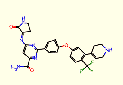 NC(=O)c1cc(/N=C2\CCNC2=O)nc(-c2ccc(Oc3ccc(C(F)(F)F)c(C4=CCNCC4)c3)cc2)n1